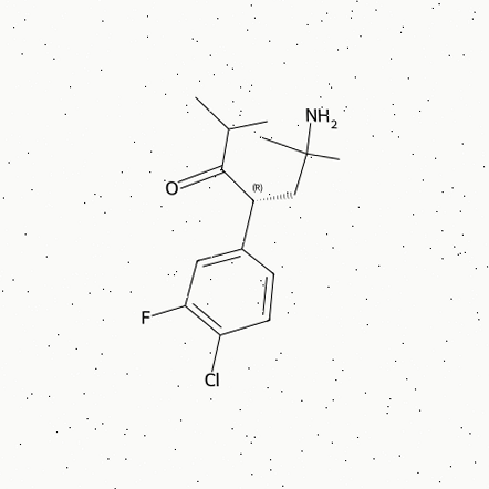 CC(C)C(=O)[C@H](CC(C)(C)N)c1ccc(Cl)c(F)c1